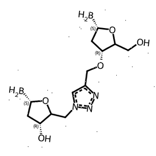 B[C@H]1C[C@@H](O)C(Cn2cc(CO[C@@H]3C[C@H](B)OC3CO)nn2)O1